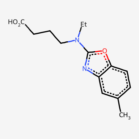 CCN(CCCC(=O)O)c1nc2cc(C)ccc2o1